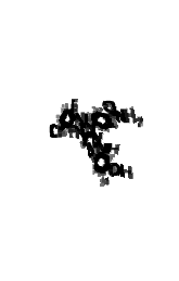 C=N/C(=N\c1c(C)nc(Nc2c(F)ccc(Cl)c2F)n1[C@H]1CC[C@@H](C(N)=O)CC1)N[C@@H]1CC[C@@H](C)[C@H](O)C1